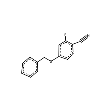 N#Cc1ncc(SCc2ccccc2)cc1F